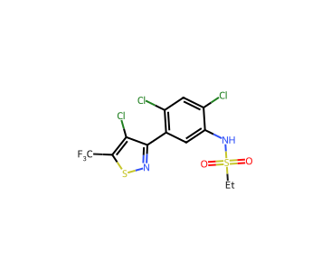 CCS(=O)(=O)Nc1cc(-c2nsc(C(F)(F)F)c2Cl)c(Cl)cc1Cl